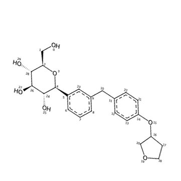 OC[C@H]1O[C@@H](c2cccc(Cc3ccc(OC4CCOC4)cc3)c2)[C@H](O)[C@@H](O)[C@@H]1O